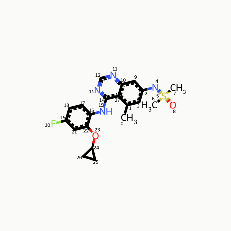 Cc1cc(N=S(C)(C)=O)cc2ncnc(Nc3ccc(F)cc3OC3CC3)c12